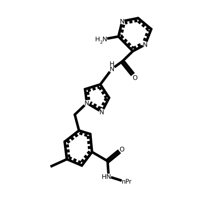 CCCNC(=O)c1cc(C)cc(Cn2cc(NC(=O)c3nccnc3N)cn2)c1